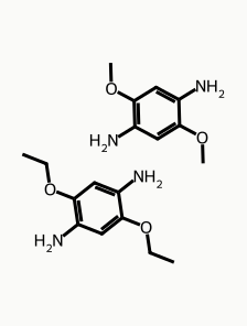 CCOc1cc(N)c(OCC)cc1N.COc1cc(N)c(OC)cc1N